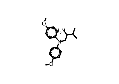 COc1ccc(N(CC(N)C(C)C)c2ccc(OC)cc2)cc1